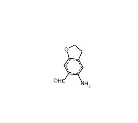 Nc1cc2c(cc1C=O)OCC2